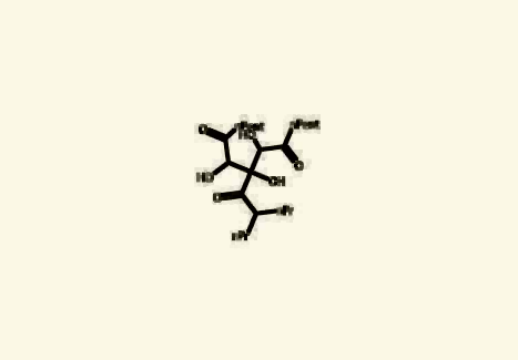 CCCCCC(=O)C(O)C(O)(C(=O)C(CCC)CCC)C(O)C(=O)CCCCC